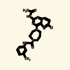 CC(=O)Nc1nc(N2CCCN(C(=O)Nc3cccc(C)c3)CC2)c2nc(Cl)ccc2n1